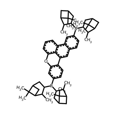 CC1C(B(c2ccc3c(c2)Oc2cccc4c2c-3cc2ccc(B(C3CC5CC(C3C)C5(C)C)C3CC5CC(C3C)C5(C)C)cc24)C2CC3CC(C2C)C3(C)C)CC2CC1C2(C)C